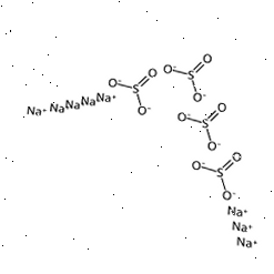 O=S([O-])[O-].O=S([O-])[O-].O=S([O-])[O-].O=S([O-])[O-].[Na+].[Na+].[Na+].[Na+].[Na+].[Na+].[Na+].[Na+]